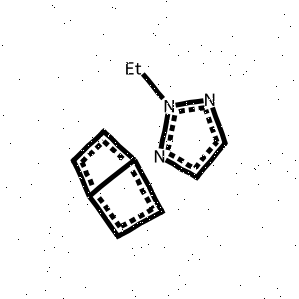 CCn1nccn1.c1cc2ccc1-2